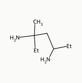 CCC(N)CC(C)(N)CC